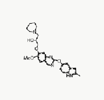 COc1cc2cnc(Oc3ccc4[nH]c(C)cc4c3)nc2cc1OCC(O)CN1CCCCC1